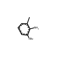 CCCCc1cccc(C)c1N